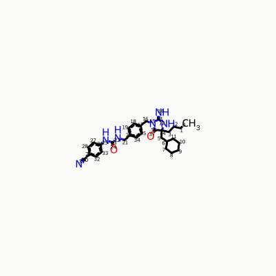 CCCCC1(CC2CCCCC2)NC(=N)N(Cc2ccc(CNC(=O)Nc3ccc(C#N)cc3)cc2)C1=O